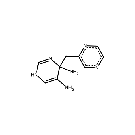 NC1=CNC=NC1(N)Cc1cnccn1